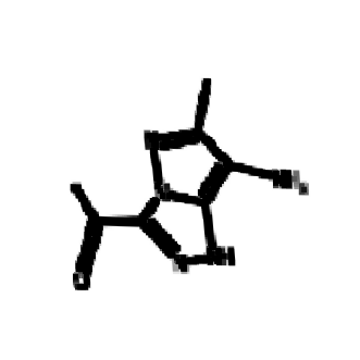 CC(=O)c1n[nH]c2c(N)c(C)nn12